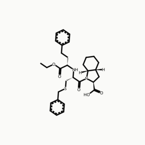 CCOC(=O)[C@H](CCc1ccccc1)N[C@@H](CSCc1ccccc1)C(=O)N1[C@@H]2CCCC[C@@H]2C[C@H]1C(=O)O